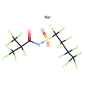 O=C([N-]S(=O)(=O)C(F)(F)C(F)(F)C(F)(F)C(F)(F)F)C(F)(C(F)(F)F)C(F)(F)F.[Na+]